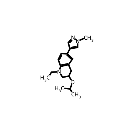 CCN1CC(OC(C)C)Cc2cc(-c3cnn(C)c3)ccc21